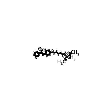 CCO[Si](C)(CCCCCCOc1ccc2cc(-c3ccccc3)c(=O)oc2c1)OCC